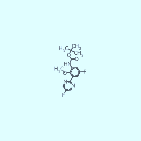 COc1c(NC(=O)OC(C)(C)C)cc(F)cc1-c1ncc(F)cn1